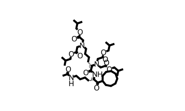 CC(=O)NCCCC[C@H](NC(=O)[C@H](CCCCN(CC(=O)OCC(C)C)CC(=O)OCC(C)C)N(CC(=O)OCC(C)C)CC(=O)OCC(C)C)C(=O)C1CCCCCCCC1